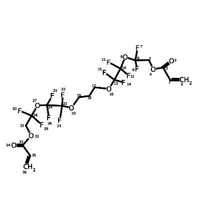 C=CC(=O)OCC(F)(F)OC(F)(F)C(F)(F)OCCCOC(F)(F)C(F)(F)OC(F)(F)COC(=O)C=C